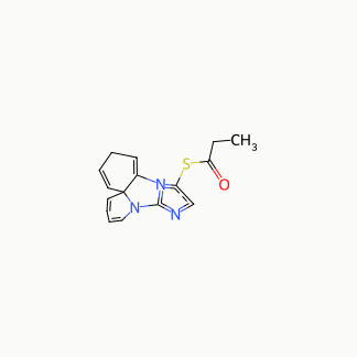 CCC(=O)Sc1cnc2n1C1=CCC=CC13C=CC=CN23